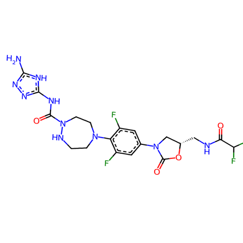 Nc1nnc(NC(=O)N2CCN(c3c(F)cc(N4C[C@H](CNC(=O)C(F)F)OC4=O)cc3F)CCN2)[nH]1